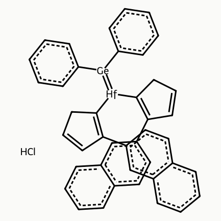 C1=CC(c2ccc3ccccc3c2)=[C]([Hf]([C]2=C(c3ccc4ccccc4c3)C=CC2)=[Ge]([c]2ccccc2)[c]2ccccc2)C1.Cl